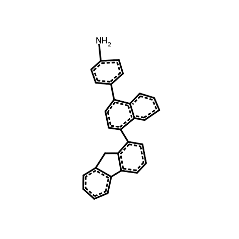 Nc1ccc(-c2ccc(-c3cccc4c3Cc3ccccc3-4)c3ccccc23)cc1